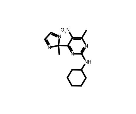 Cc1nc(NC2CCCCC2)nc(C2(C)N=CC=N2)c1[N+](=O)[O-]